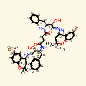 C[C@]1(C(F)(F)F)C[C@H](NC[C@H](O)[C@H](Cc2ccccc2)NC(=O)CCC(=O)N[C@@H](Cc2ccccc2)[C@@H](O)CN[C@H]2C[C@@](C)(C(F)(F)F)Oc3ccc(Br)cc32)c2cc(Br)ccc2O1